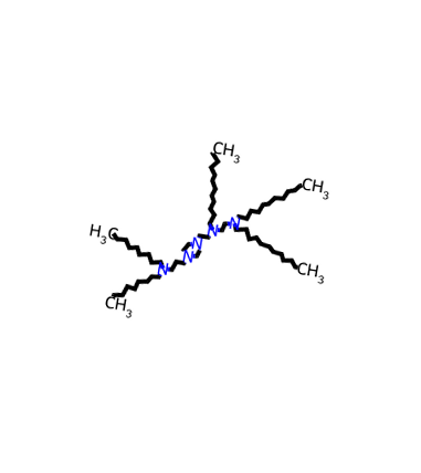 CCCCCCCCCCCCN(CCCCCCCCCCCC)CCN(CCCCCCCCCCCC)CCN1CCN(CCCN(CCCCCCCCC)CCCCCCCCC)CC1